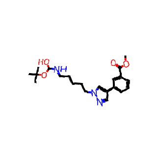 COC(=O)c1cccc(-c2cnn(CCCCCNC(O)OC(C)(C)C)c2)c1